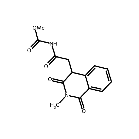 COC(=O)NC(=O)CC1C(=O)N(C)C(=O)c2ccccc21